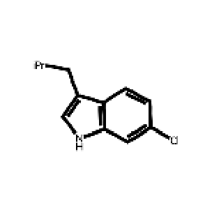 CC(C)Cc1c[nH]c2cc(Cl)ccc12